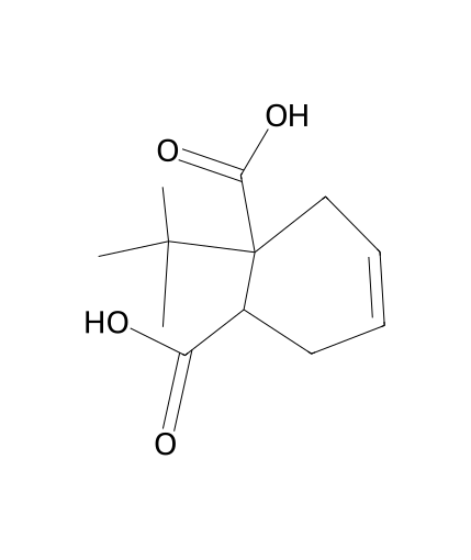 CC(C)(C)C1(C(=O)O)CC=CCC1C(=O)O